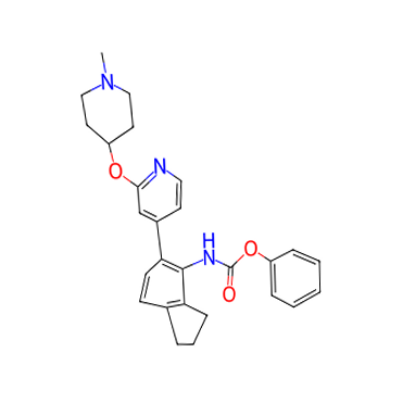 CN1CCC(Oc2cc(-c3ccc4c(c3NC(=O)Oc3ccccc3)CCC4)ccn2)CC1